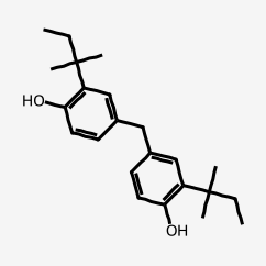 CCC(C)(C)c1cc(Cc2ccc(O)c(C(C)(C)CC)c2)ccc1O